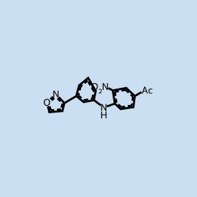 CC(=O)c1ccc(Nc2cccc(-c3ccon3)c2)c([N+](=O)[O-])c1